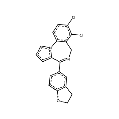 Clc1ccc2c(c1Cl)CN=C(c1ccc3c(c1)CCO3)c1cccn1-2